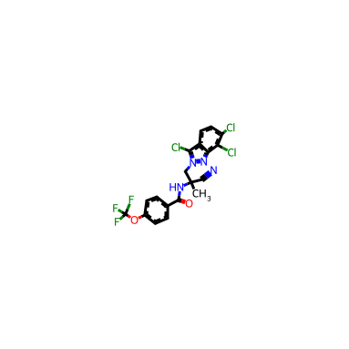 CC(C#N)(Cn1nc2c(Cl)c(Cl)ccc2c1Cl)NC(=O)c1ccc(OC(F)(F)F)cc1